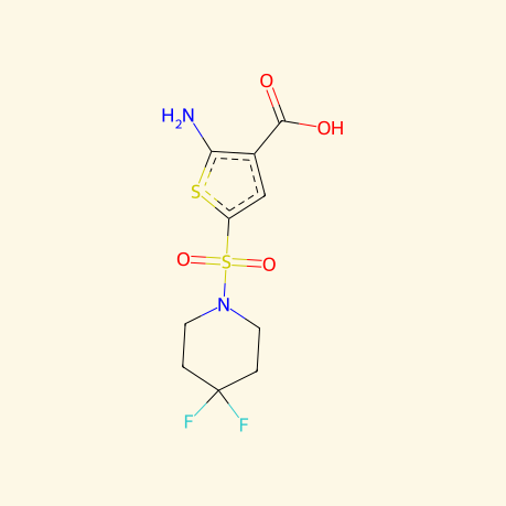 Nc1sc(S(=O)(=O)N2CCC(F)(F)CC2)cc1C(=O)O